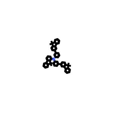 CC1(C)c2ccccc2-c2cc(-c3cccc(N(c4cccc(-c5ccc6c(c5)-c5ccccc5C6(C)C)c4)c4cccc5c4C(C)(C)c4ccccc4-5)c3)ccc21